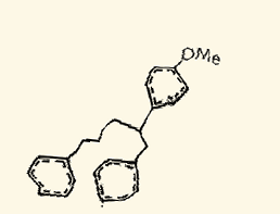 COc1ccc(C(CCCc2ccccc2)Cc2cc[c]cc2)cc1